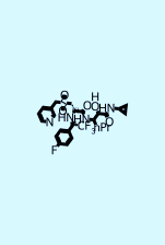 CCCC(NC(=O)[C@@H](CS(=O)(=O)Cc1cccnc1)N[C@H](c1ccc(F)cc1)C(F)(F)F)C(O)C(=O)NC1CC1